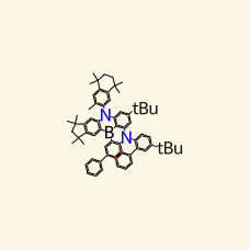 Cc1cc2c(cc1N1c3cc4c(cc3B3c5cc(-c6ccccc6)ccc5N(c5ccc(C(C)(C)C)cc5-c5ccccc5)c5cc(C(C)(C)C)cc1c53)C(C)(C)CC4(C)C)C(C)(C)CCC2(C)C